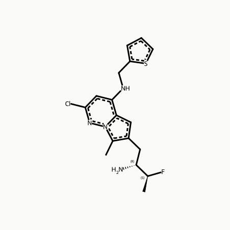 Cc1c(C[C@@H](N)[C@H](C)F)cc2c(NCc3cccs3)cc(Cl)nn12